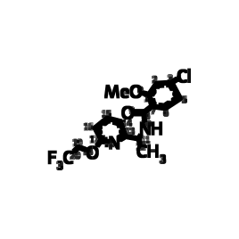 COc1cc(Cl)ccc1C(=O)NC(C)c1cccc(OCC(F)(F)F)n1